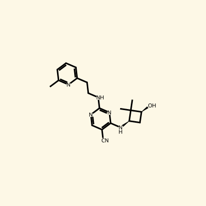 Cc1cccc(CCNc2ncc(C#N)c(N[C@@H]3C[C@H](O)C3(C)C)n2)n1